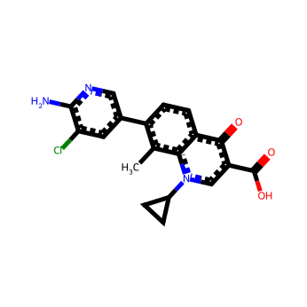 Cc1c(-c2cnc(N)c(Cl)c2)ccc2c(=O)c(C(=O)O)cn(C3CC3)c12